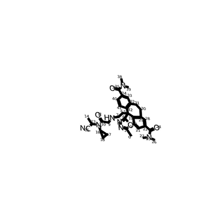 Cc1nnc(C2(CCNCC(=O)N(C(C)C#N)C3CC3)c3ccc(C(=O)N(C)C)cc3CCc3cc(C(=O)N(C)C)ccc32)o1